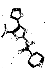 CN(C)c1sc(NC(=O)c2ccncc2)nc1-c1ccco1